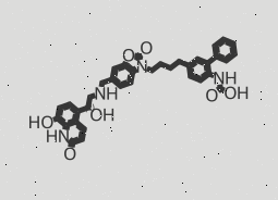 O=C(O)Nc1ccc(CCCCn2c(=O)oc3cc(CNC[C@H](O)c4ccc(O)c5[nH]c(=O)ccc45)ccc32)cc1-c1ccccc1